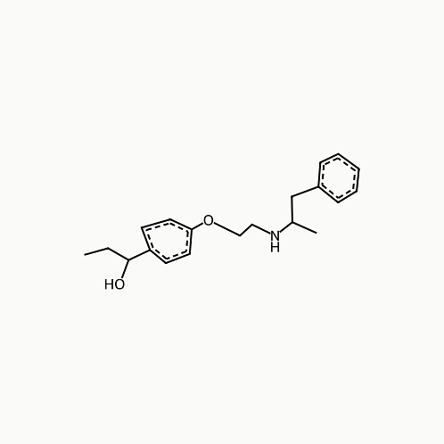 CCC(O)c1ccc(OCCNC(C)Cc2ccccc2)cc1